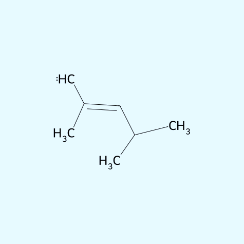 [CH]C(C)=CC(C)C